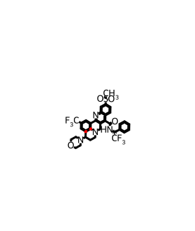 CS(=O)(=O)c1ccc2c(C(=O)N[C@H](c3ccccc3)C(F)(F)F)c(CN3CCC(N4CCOCC4)CC3)c(-c3cccc(C(F)(F)F)c3)nc2c1